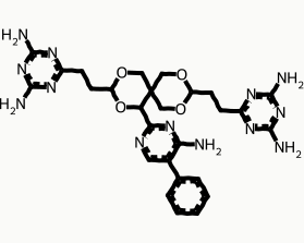 Nc1nc(N)nc(CCC2OCC3(CO2)COC(CCc2nc(N)nc(N)n2)OC3c2ncc(-c3ccccc3)c(N)n2)n1